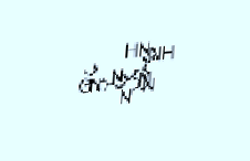 C=CC(C)C(=O)N1CCC(c2ccc(-c3cc(/C(C=N)=C/NC)cn4ncc(C#N)c34)cn2)C1